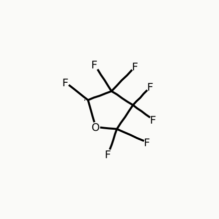 F[C]1OC(F)(F)C(F)(F)C1(F)F